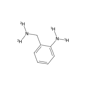 [1H]N([1H])c1ccccc1CN([2H])[2H]